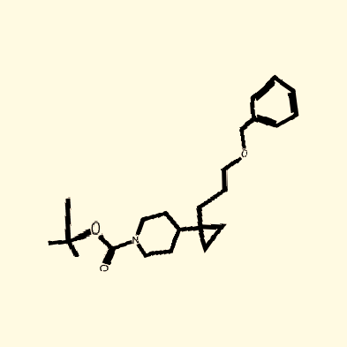 CC(C)(C)OC(=O)N1CCC(C2(CCCOCc3ccccc3)CC2)CC1